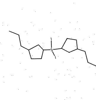 CCCC1CCC(S(I)(I)C2CCC(CCC)C2)C1